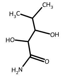 CC(C)C(O)C(O)C(N)=O